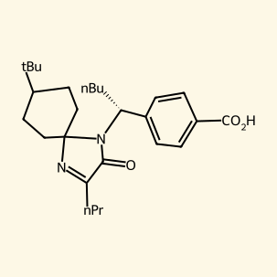 CCCC[C@H](c1ccc(C(=O)O)cc1)N1C(=O)C(CCC)=NC12CCC(C(C)(C)C)CC2